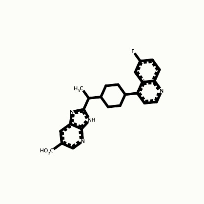 CC(c1nc2cc(C(=O)O)cnc2[nH]1)C1CCC(c2ccnc3ccc(F)cc23)CC1